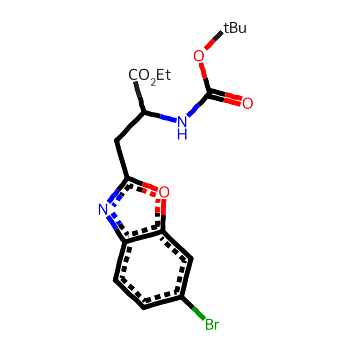 CCOC(=O)C(Cc1nc2ccc(Br)cc2o1)NC(=O)OC(C)(C)C